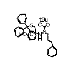 CC(C)(C)OC(=O)N(CCCc1ccccc1)N[C@@H](CSC(c1ccccc1)(c1ccccc1)c1ccccc1)C(=O)O